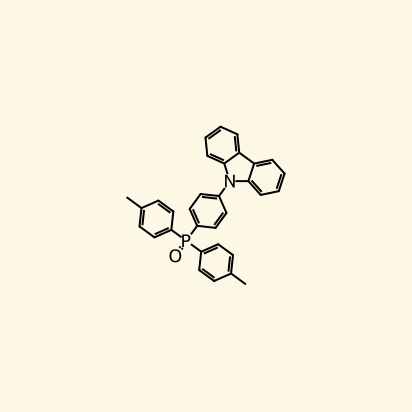 Cc1ccc(P(=O)(c2ccc(C)cc2)c2ccc(-n3c4ccccc4c4ccccc43)cc2)cc1